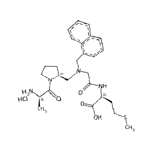 CSCC[C@H](NC(=O)CN(Cc1cccc2ccccc12)C[C@@H]1CCCN1C(=O)[C@@H](C)N)C(=O)O.Cl